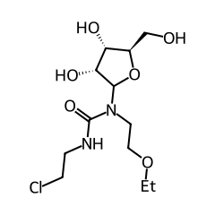 CCOCCN(C(=O)NCCCl)C1O[C@H](CO)[C@@H](O)[C@H]1O